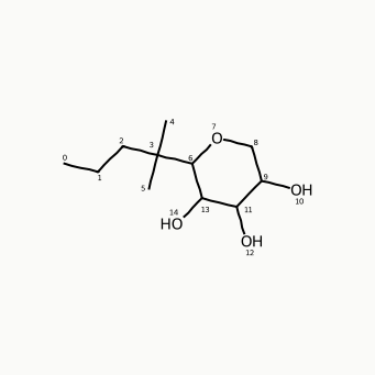 CCCC(C)(C)C1OCC(O)C(O)C1O